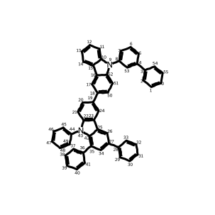 c1ccc(-c2cccc(-n3c4ccccc4c4cc(-c5ccc6c(c5)c5cc(-c7ccccc7)cc(-c7ccccc7)c5n6-c5ccccc5)ccc43)c2)cc1